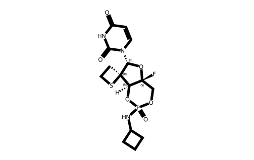 O=c1ccn([C@@H]2O[C@]3(F)COP(=O)(NC4CCC4)O[C@H]3[C@]23CCS3)c(=O)[nH]1